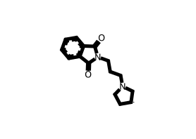 O=C1c2ccccc2C(=O)N1CCCN1C[CH]CC1